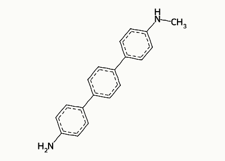 CNc1ccc(-c2ccc(-c3ccc(N)cc3)cc2)cc1